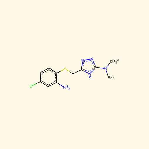 CC(C)(C)N(C(=O)O)c1nnc(CSc2ccc(Cl)cc2N)[nH]1